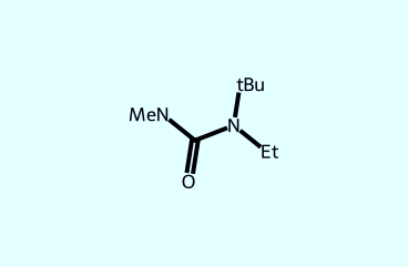 CCN(C(=O)NC)C(C)(C)C